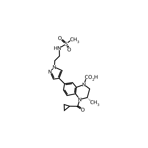 C[C@H]1CN(C(=O)O)c2cc(-c3cnn(CCNS(C)(=O)=O)c3)ccc2N1C(=O)C1CC1